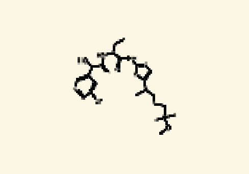 CCC(NC(=O)C(O)c1cncc(Br)c1)C(=O)Nc1ncc(C(C)CCCC(C)(C)OC)s1